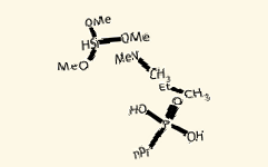 CCC.CCCP(=O)(O)O.CNC.CO[SiH](OC)OC